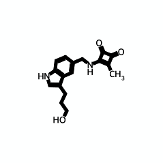 Cc1c(NCc2ccc3[nH]cc(CCCO)c3c2)c(=O)c1=O